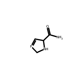 NC(=O)C1C=PCN1